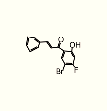 O=C(C=Cc1ccccc1)c1cc(Br)c(F)cc1O